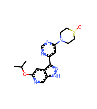 CC(C)Oc1cc2c(-c3cc(N4CC[S+]([O-])CC4)ncn3)n[nH]c2cn1